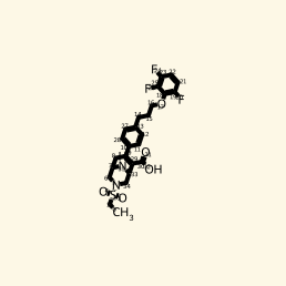 CCS(=O)(=O)N1CC2CC(c3ccc(CCCOc4c(F)ccc(F)c4F)cc3)=C(C(=O)O)C(C1)N2